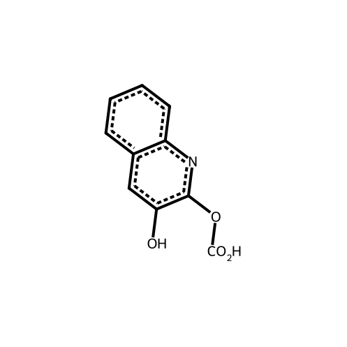 O=C(O)Oc1nc2ccccc2cc1O